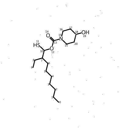 CCCCCCCC(CC)C(S)OC(=O)N1CCC(O)CC1